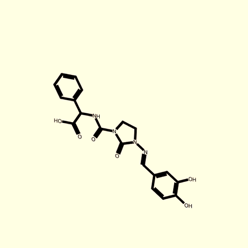 O=C(O)C(NC(=O)N1CCN(N=Cc2ccc(O)c(O)c2)C1=O)c1ccccc1